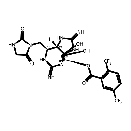 N=C1N[C@H]2[C@H](CN3C(=O)CNC3=O)NC(=N)N3C[C@H](OC(=O)c4cc(C(F)(F)F)ccc4C(F)(F)F)C(O)(O)C23N1